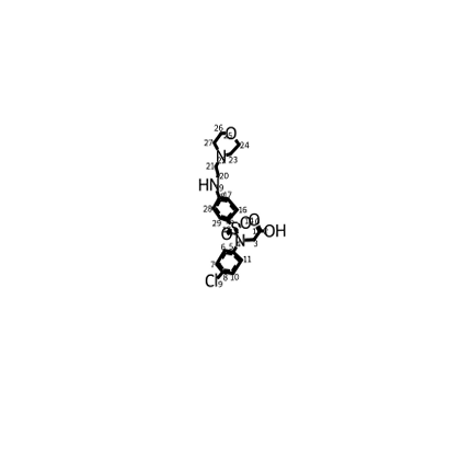 O=C(O)CN(c1ccc(Cl)cc1)S(=O)(=O)c1ccc(NCCN2CCOCC2)cc1